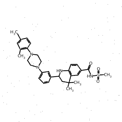 Cc1ccc(N2CCN(c3cccc(C4CC(C)(C)c5cc(C(=O)NS(C)(=O)=O)ccc5N4)c3)CC2)c(C)c1